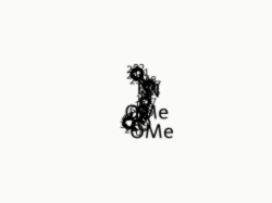 COc1cccc(OC)c1C(=O)N1CC2CN(c3nccc(-c4ccccc4)n3)CC2C1